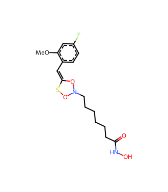 COc1cc(F)ccc1C=C1ON(CCCCCCC(=O)NO)OS1